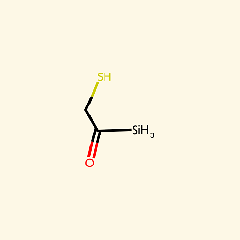 O=C([SiH3])CS